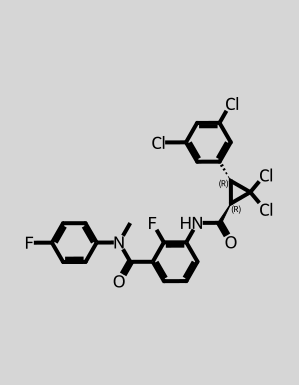 CN(C(=O)c1cccc(NC(=O)[C@H]2[C@H](c3cc(Cl)cc(Cl)c3)C2(Cl)Cl)c1F)c1ccc(F)cc1